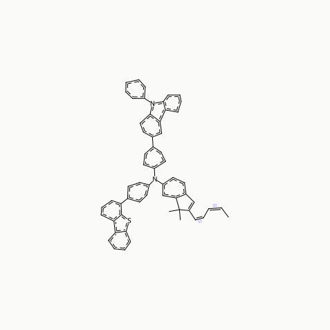 C/C=C\C=C/C1=Cc2ccc(N(c3ccc(-c4ccc5c(c4)c4ccccc4n5-c4ccccc4)cc3)c3ccc(-c4cccc5c4sc4ccccc45)cc3)cc2C1(C)C